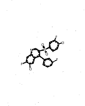 O=S(=O)(c1ccc(Cl)c(F)c1)c1cnc2cc(F)c(Cl)cc2c1-c1cccc(F)c1